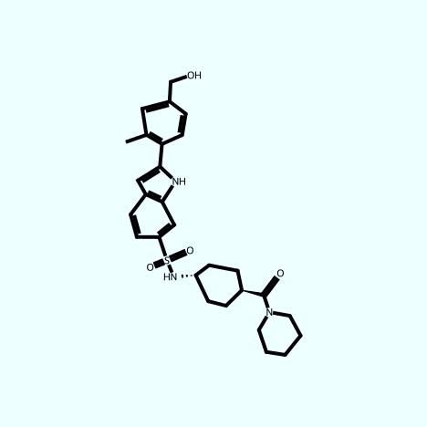 Cc1cc(CO)ccc1-c1cc2ccc(S(=O)(=O)N[C@H]3CC[C@H](C(=O)N4CCCCC4)CC3)cc2[nH]1